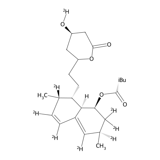 [2H]O[C@H]1CC(=O)OC(CC[C@@H]2[C@@H]3C(=C([2H])[C@]([2H])(C)C([2H])([2H])[C@@H]3OC(=O)[C@@H](C)CC)C([2H])=C([2H])[C@]2([2H])C)C1